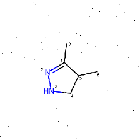 CC1=NNCC1C